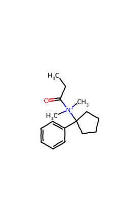 CCC(=O)[N+](C)(C)C1(c2ccccc2)CCCC1